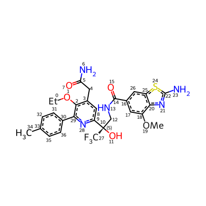 CCOc1c(CC(N)=O)cc([C@@](O)(CNC(=O)c2cc(OC)c3nc(N)sc3c2)C(F)(F)F)nc1-c1ccc(C)cc1